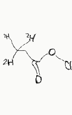 [2H]C([2H])([2H])C(=O)OCl